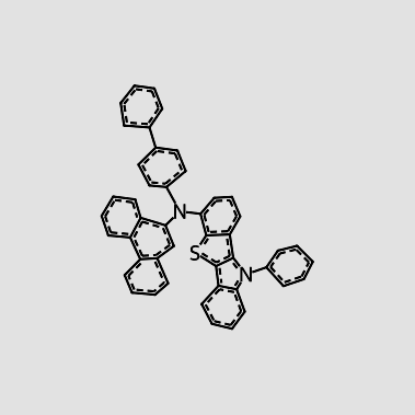 c1ccc(-c2ccc(N(c3cc4ccccc4c4ccccc34)c3cccc4c3sc3c5ccccc5n(-c5ccccc5)c43)cc2)cc1